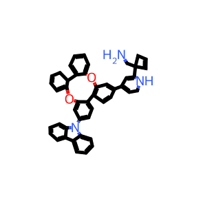 NCC1(C2=CC(c3ccc4c(c3)Oc3ccccc3C3CC=CC=C3Oc3cc(-n5c6ccccc6c6ccccc65)ccc3-4)=CCN2)C=CC1